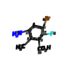 Cc1c(N)cc(Br)c(F)c1C(=O)O